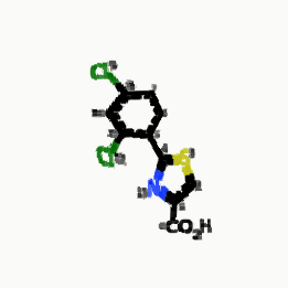 O=C(O)c1csc(-c2ccc(Cl)cc2Cl)n1